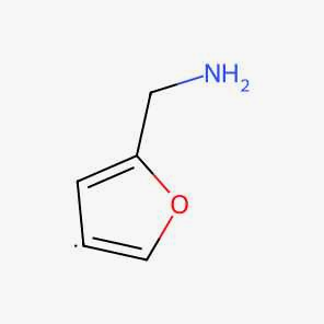 NCc1c[c]co1